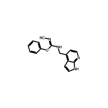 N#C/N=C(/NCc1ccnc2[nH]ccc12)Oc1ccccc1